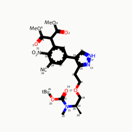 COC(=O)C(C(=O)OC)c1cc(-c2c[nH]nc2CCOC[C@@H](C)N(C)C(=O)OC(C)(C)C)cc(C#N)c1[N+](=O)[O-]